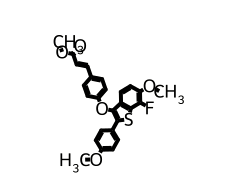 COC(=O)/C=C/c1ccc(Oc2c(-c3ccc(OC)cc3)sc3c(F)c(OC)ccc23)cc1